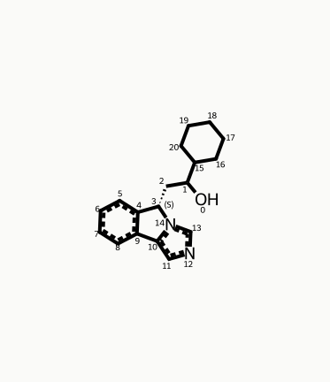 OC(C[C@H]1c2ccccc2-c2cncn21)C1CCCCC1